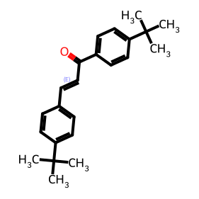 CC(C)(C)c1ccc(/C=C/C(=O)c2ccc(C(C)(C)C)cc2)cc1